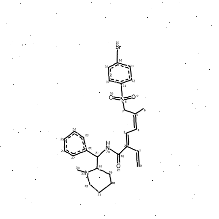 C=C/C(=C\C=C(\C)CS(=O)(=O)c1ccc(Br)cc1)C(=O)NC(c1ccccc1)C1CCCCN1C